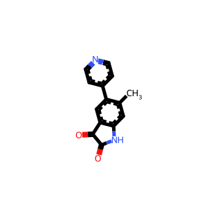 Cc1cc2c(cc1-c1ccncc1)C(=O)C(=O)N2